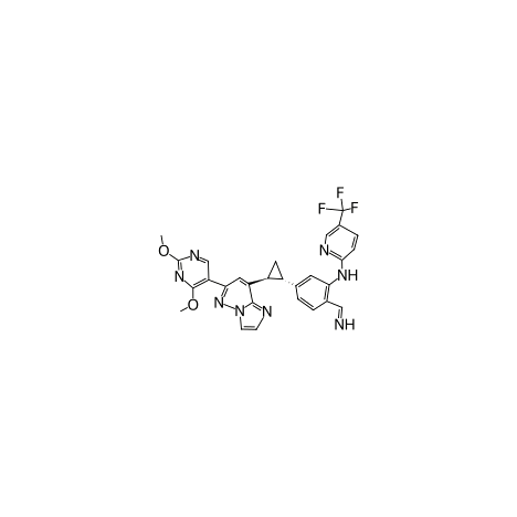 COc1ncc(-c2cc([C@H]3C[C@@H]3c3ccc(C=N)c(Nc4ccc(C(F)(F)F)cn4)c3)c3nccn3n2)c(OC)n1